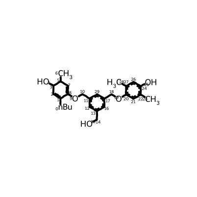 CCCCC1=CC(O)C(C)C=C1OCc1cc(CO)cc(COc2cc(C)c(O)cc2C)c1